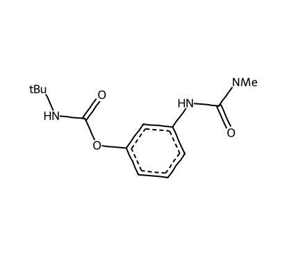 CNC(=O)Nc1cccc(OC(=O)NC(C)(C)C)c1